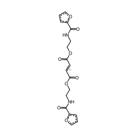 O=C(/C=C/C(=O)OCCNC(=O)c1ccco1)OCCNC(=O)c1ccco1